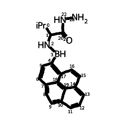 CC(C)C(NBc1ccc2ccc3cccc4ccc1c2c34)C(=O)NN